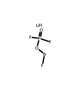 O=P(F)(F)O[B]F.[LiH]